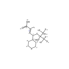 C/C(=C\C(CC(O)(C(F)(F)F)C(F)(F)F)C1CCCCC1)C(=O)O